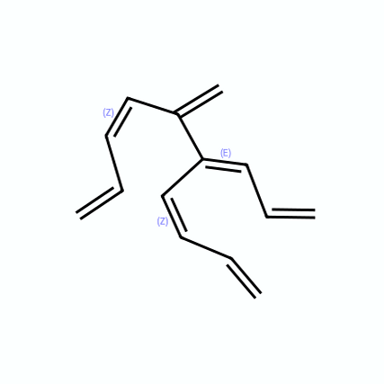 C=C/C=C\C(=C)C(/C=C\C=C)=C/C=C